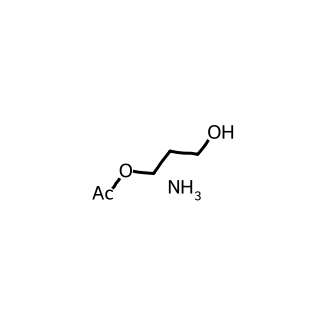 CC(=O)OCCCO.N